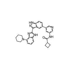 O=C(Nc1cncc(-c2ccc3[nH]nc(-c4nc5c(N6CCCCC6)cccc5[nH]4)c3c2)c1)C1CCC1